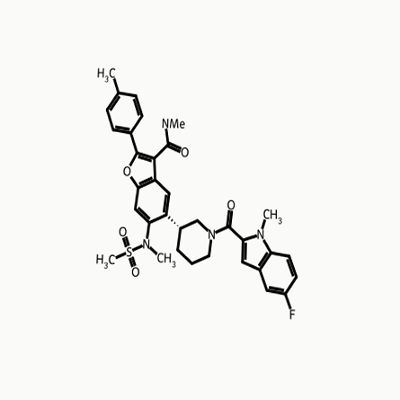 CNC(=O)c1c(-c2ccc(C)cc2)oc2cc(N(C)S(C)(=O)=O)c([C@H]3CCCN(C(=O)c4cc5cc(F)ccc5n4C)C3)cc12